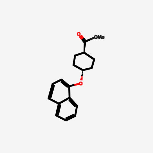 COC(=O)[C@H]1CC[C@H](Oc2cccc3ccccc23)CC1